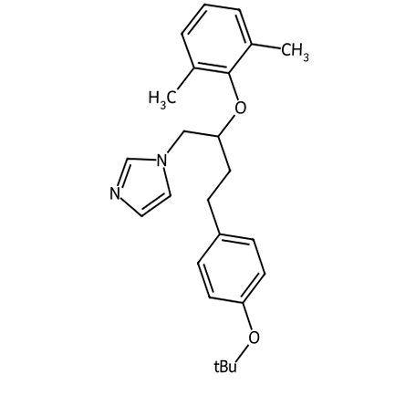 Cc1cccc(C)c1OC(CCc1ccc(OC(C)(C)C)cc1)Cn1ccnc1